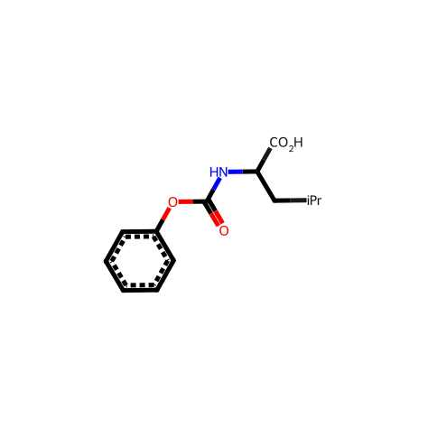 CC(C)CC(NC(=O)Oc1ccccc1)C(=O)O